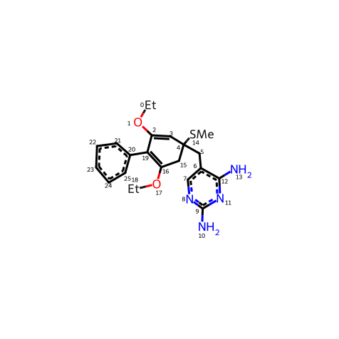 CCOC1=CC(Cc2cnc(N)nc2N)(SC)CC(OCC)=C1c1ccccc1